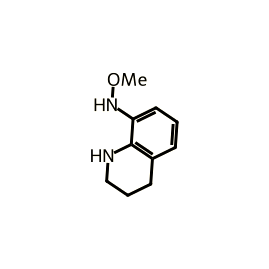 CONc1cccc2c1NCCC2